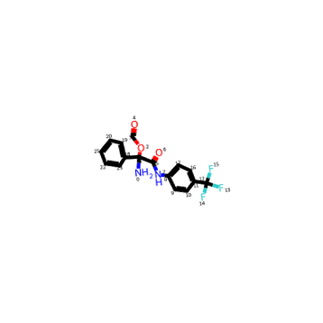 NC(OC=O)(C(=O)Nc1ccc(C(F)(F)F)cc1)c1ccccc1